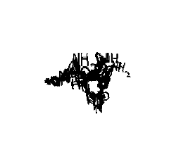 Cc1nc(-c2ccc(C(C)(C)C)cc2)ncc1C(=O)NC(CCN)C(=O)NC1C(=O)NC(C)C(=O)NC(C(=O)NCC#N)Cc2ccc(OCCN)c(c2)-c2cc1ccc2OCCN